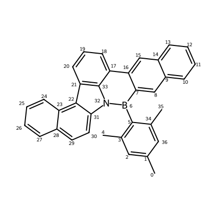 Cc1cc(C)c(B2c3cc4ccccc4cc3-c3cccc4c5c6ccccc6ccc5n2c34)c(C)c1